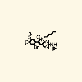 CCCCCCn1c(=O)c(-c2cc(SCC)c(OC)cc2Br)cc2cnc(NC3CC3)nc21